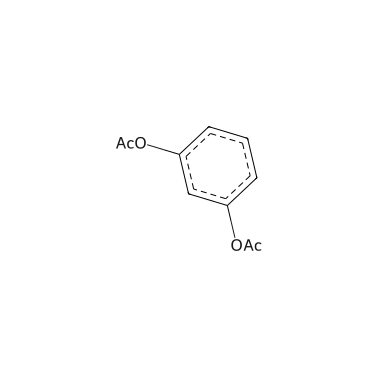 CC(=O)Oc1cccc(OC(C)=O)c1